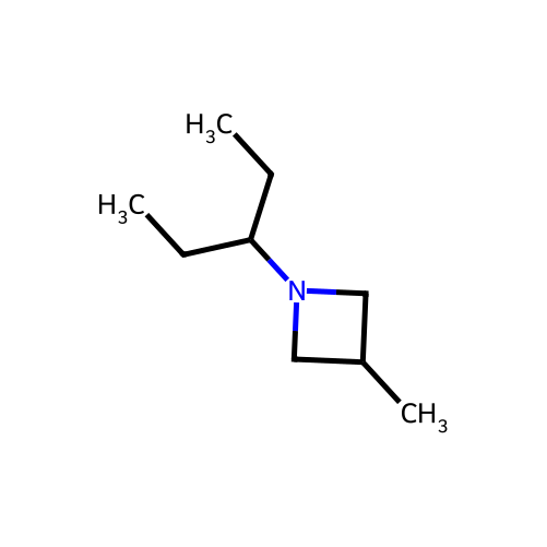 CCC(CC)N1CC(C)C1